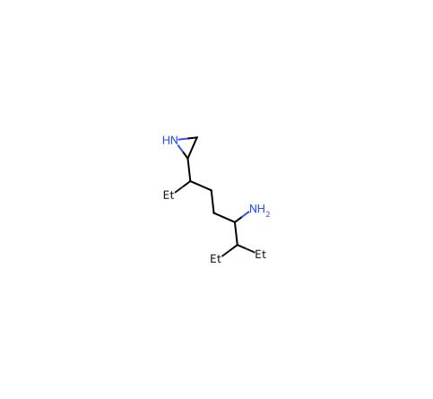 CCC(CC)C(N)CCC(CC)C1CN1